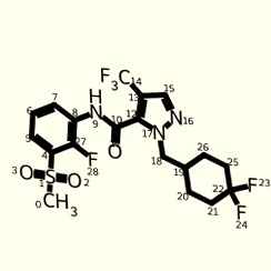 CS(=O)(=O)c1cccc(NC(=O)c2c(C(F)(F)F)cnn2CC2CCC(F)(F)CC2)c1F